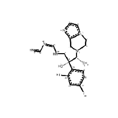 C[C@@H](N1CCn2ccnc2C1)[C@](O)(CN/C=N\C=N)c1ccc(F)cc1F